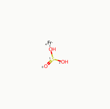 O=S(O)O.[Fr]